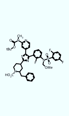 COCN(c1cccc(-c2nc(C3CCN(C(=O)O)C(Cc4ccccc4)C3)sc2-c2ccnc(N(C)C(=O)OC(C)(C)C)c2)c1F)S(=O)(=O)c1cc(F)ccc1F